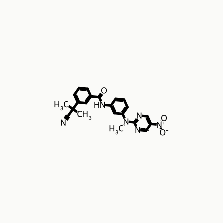 CN(c1cccc(NC(=O)c2cccc(C(C)(C)C#N)c2)c1)c1n[c]c([N+](=O)[O-])cn1